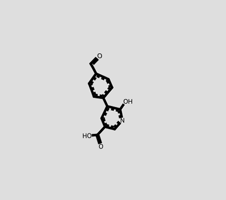 O=Cc1ccc(-c2cc(C(=O)O)cnc2O)cc1